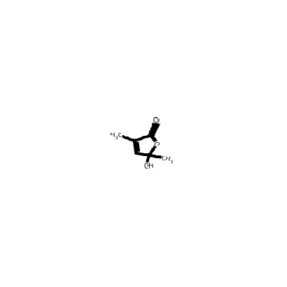 CC1=CC(C)(O)OC1=O